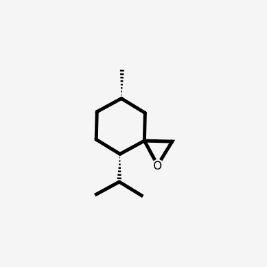 CC(C)[C@@H]1CC[C@H](C)CC12CO2